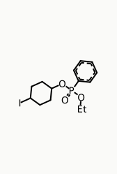 CCOP(=O)(OC1CCC(I)CC1)c1ccccc1